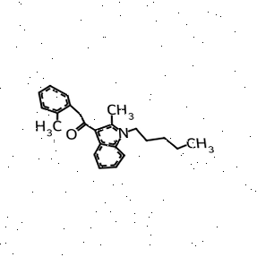 CCCCCn1c(C)c(C(=O)Cc2ccccc2C)c2ccccc21